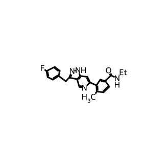 CCNC(=O)c1ccc(C)c(-c2cc3[nH]nc(Cc4ccc(F)cc4)c3cn2)c1